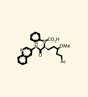 COC(CCC(C)=O)CC[C@@H](C(=O)Nc1cnc2ccccc2c1)N(C(=O)O)c1ccccc1